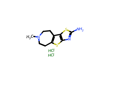 CN1CCc2sc3nc(N)sc3c2CC1.Cl.Cl